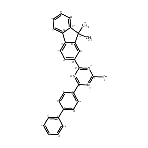 CC(C)c1nc(-c2ccc(-c3ccccc3)cc2)nc(-c2ccc3c(c2)C(C)(C)c2ccccc2-3)n1